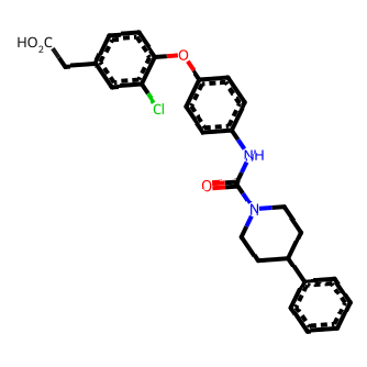 O=C(O)Cc1ccc(Oc2ccc(NC(=O)N3CCC(c4ccccc4)CC3)cc2)c(Cl)c1